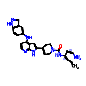 C=C/C=C(\C=C/N)NC(=O)N1CC=C(c2cc3c(Nc4ccc5[nH]ncc5c4)ccnc3[nH]2)CC1